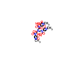 Cn1ccc(N(CCN(CCN(C(=O)O)c2ccn(C)c(=O)c2O)CCN(C(=O)O)c2ccn(C)c(=O)c2O)C(=O)O)c(O)c1=O